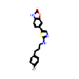 O=c1[nH]c2ccc(-c3cnc(NCCCc4ccc(C(F)(F)F)cc4)s3)cc2o1